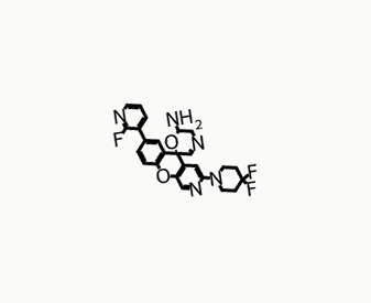 NC1CN=C[C@]2(O1)c1cc(-c3cccnc3F)ccc1Oc1cnc(N3CCC(F)(F)CC3)cc12